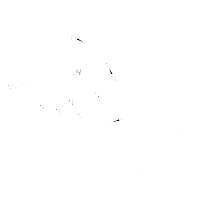 COc1cc(N2C[C@H]3CC[C@@H](C2)C3Nc2nc3n(n2)CCC[C@@H]3Oc2cc(F)cc(Cl)c2)cnn1